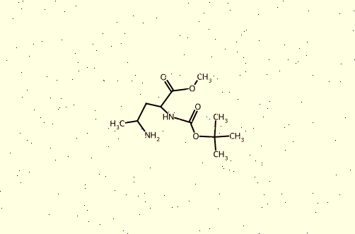 COC(=O)C(CC(C)N)NC(=O)OC(C)(C)C